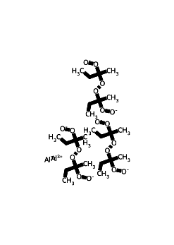 CCC(C)(O[O-])OOC(C)(CC)O[O-].CCC(C)(O[O-])OOC(C)(CC)O[O-].CCC(C)(O[O-])OOC(C)(CC)O[O-].[Al+3].[Al+3]